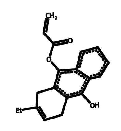 C=CC(=O)Oc1c2c(c(O)c3ccccc13)CC=C(CC)C2